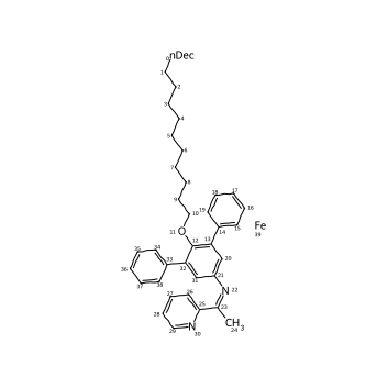 CCCCCCCCCCCCCCCCCCCCOc1c(-c2ccccc2)cc(N=C(C)c2ccccn2)cc1-c1ccccc1.[Fe]